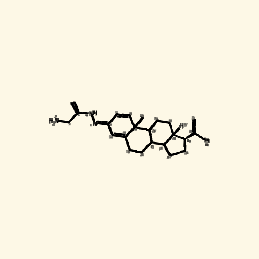 C=C(CN)N/N=C1\C=CC2(C)C(=C1)CCC1C3CC[C@H](C(=C)CC)[C@H]3CCC12